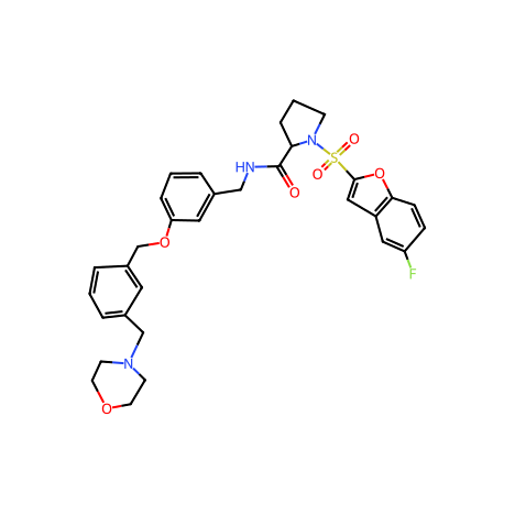 O=C(NCc1cccc(OCc2cccc(CN3CCOCC3)c2)c1)C1CCCN1S(=O)(=O)c1cc2cc(F)ccc2o1